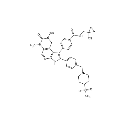 CN1C(=O)N(C(C)(C)C)Cc2c1cnc1[nH]c(-c3ccc(CN4CCC(S(C)(=O)=O)CC4)cc3)c(-c3ccc(C(=O)NCC4(C#N)CC4)cc3)c21